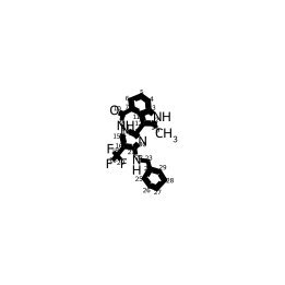 Cc1[nH]c2cccc(C(N)=O)c2c1-c1ncc(C(F)(F)F)c(NCc2ccccc2)n1